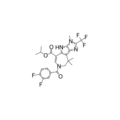 CC(C)OC(=O)C1=CN(C(=O)c2ccc(F)c(F)c2)CC(C)(C)c2c1[nH]c1c2nc(C(F)(F)F)n1C